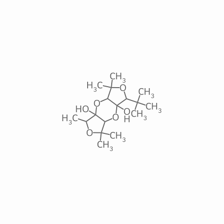 CC1OC(C)(C)C2OC3(O)C(C(C)(C)C)OC(C)(C)C3OC12O